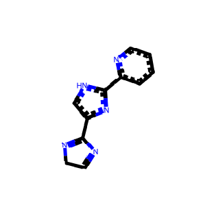 C1=NC(c2c[nH]c(-c3ccccn3)n2)=NC1